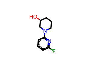 O[C@H]1CCCN(c2cccc(F)n2)C1